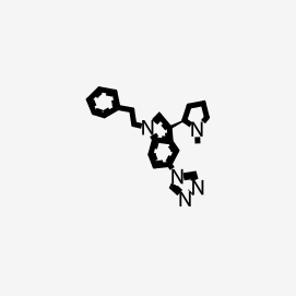 CN1CCC[C@@H]1c1cn(CCc2ccccc2)c2ccc(-n3cnnc3)cc12